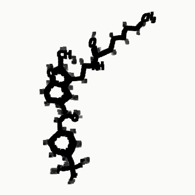 CCCCCCC(=O)NCCc1c(C)oc2ccc([S+]([O-])Cc3ccc(C(F)(F)F)cc3)cc12